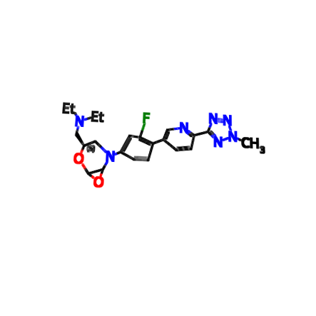 CCN(CC)C[C@H]1CN(c2ccc(-c3ccc(-c4nnn(C)n4)nc3)c(F)c2)C2OC2O1